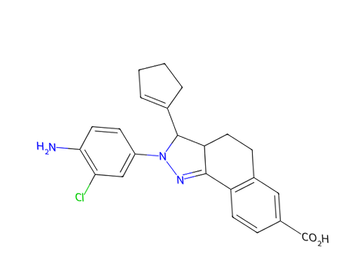 Nc1ccc(N2N=C3c4ccc(C(=O)O)cc4CCC3C2C2=CCCC2)cc1Cl